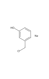 Oc1cccc(CCl)c1.[Na]